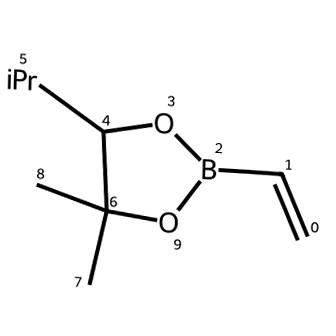 C=CB1OC(C(C)C)C(C)(C)O1